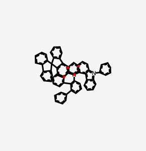 c1ccc(-c2ccccc2-c2c(-c3ccccc3)cccc2N(c2ccc3c(c2)-c2ccccc2C32c3ccccc3-c3ccccc32)c2cccc3c2c2ccccc2n3-c2ccccc2)cc1